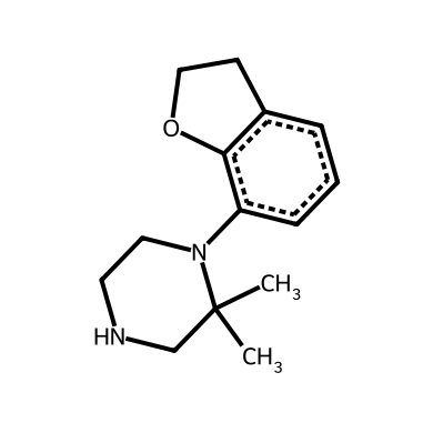 CC1(C)CNCCN1c1cccc2c1OCC2